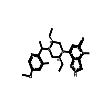 CC[C@H]1CN(C(C)c2ncc(OC)cc2C)[C@H](CC)CN1c1cc(=O)n(C)c2c[nH]nc12